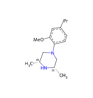 COc1cc(C(C)C)ccc1N1C[C@@H](C)N[C@@H](C)C1